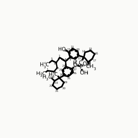 CCCCC(CC)CC(c1cc(C2(C)CCCCC2C)ccc1O)c1cc(C2(C)CCCCC2C)ccc1OP(O)O